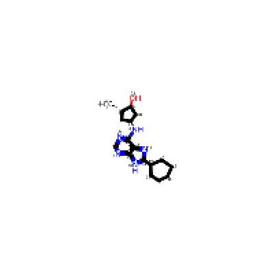 [CH2][C@H]1C[C@@H](Nc2ncnc3[nH]c(C4CCCCC4)nc23)C[C@@H]1O